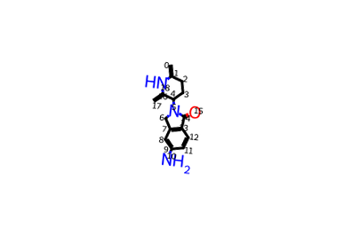 C=C1CCC(N2Cc3cc(N)ccc3C2=O)C(=C)N1